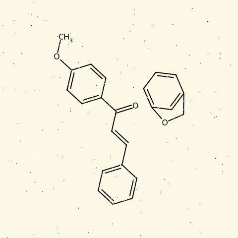 COc1ccc(C(=O)C=Cc2ccccc2)cc1.c1cc2cc(c1)OC2